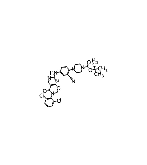 CC(C)(C)OC(=O)N1CCN(c2ccc(Nc3ncc4c(n3)OCN(c3c(Cl)cccc3Cl)C4=O)cc2C#N)CC1